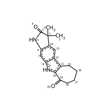 CC1(C)C(=O)Nc2cc3[nH]c4c(c3cc21)CCCCC4=O